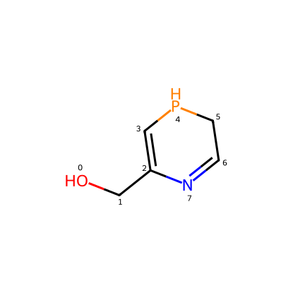 OCC1=CPCC=N1